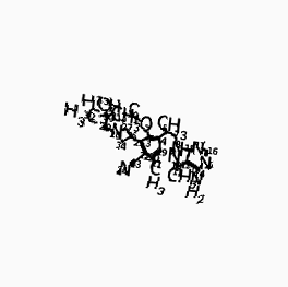 CCOc1c(C(C)Cn2nc(C)c3c(N)ncnc32)cc(C)c(C#N)c1C1CN(CC(C)(C)O)C1